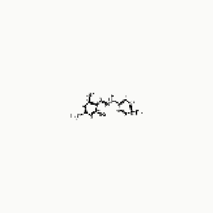 Cc1cc(Br)c(C=NNc2ccc(F)cc2)c(Br)c1